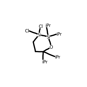 CC(C)C1(C(C)C)CC[Si](Cl)(Cl)[Si](C(C)C)(C(C)C)O1